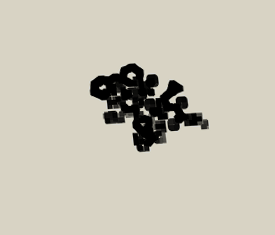 CC(C)(C)[C@H](NC(=O)NC1(Cc2ccccn2)CCCN(S(C)(=O)=O)C1)C(=O)N1C[C@H]2[C@@H]([C@H]1C(=O)NC(CC1CC1)C(=O)C(N)=O)C2(Cl)Cl